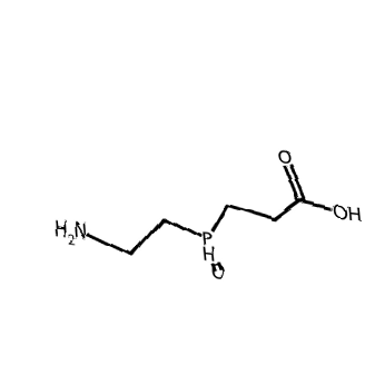 NCC[PH](=O)CCC(=O)O